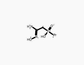 CC(C)P(=O)(O)CC(N)=NO